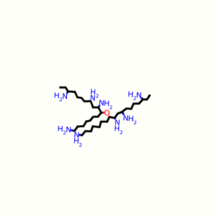 CCC(N)CCCCC(N)CC(N)C(CCCCCCCN)OC(CCCCCCCN)C(N)CC(N)CCCCC(N)CC